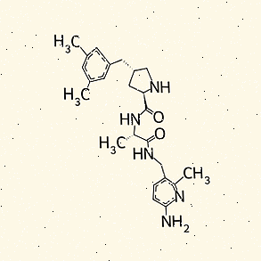 Cc1cc(C)cc(C[C@@H]2CN[C@@H](C(=O)N[C@@H](C)C(=O)NCc3ccc(N)nc3C)C2)c1